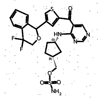 NS(=O)(=O)OC[C@@H]1CC[C@H](Nc2ncncc2C(=O)c2cc(C3OCC(F)(F)c4ccccc43)cs2)C1